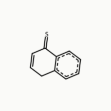 S=C1C=CCc2ccccc21